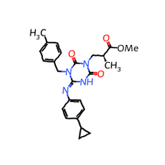 COC(=O)[C@@H](C)Cn1c(=O)[nH]/c(=N\c2ccc(C3CC3)cc2)n(Cc2ccc(C)cc2)c1=O